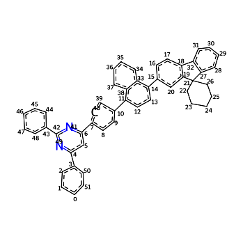 c1ccc(-c2cc(-c3ccc(-c4ccc(-c5ccc6c(c5)C5(CCCCC5)c5ccccc5-6)c5ccccc45)cc3)nc(-c3ccccc3)n2)cc1